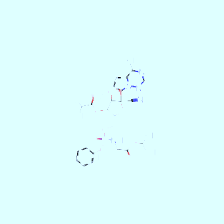 Cc1ncnn2c([C@]3(C#N)O[C@H](CO[P@](=O)(N[C@@H](C)C(=O)OC(C)C)Oc4ccccc4)[C@@H](OC(=O)C(C)C)[C@@]3(C)O)ccc12